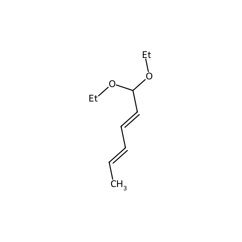 CC=CC=CC(OCC)OCC